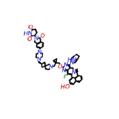 C#Cc1cccc2cc(O)cc(-c3ncc4c(N5CC6CCC(C5)N6)nc(OCC5(CN6CCC7(CC(CN8CCN(c9ccc%10c(c9)CN([C@H]9CCC(=O)NC9=O)C%10=O)CC8)C7)C6)CC5)nc4c3F)c12